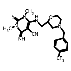 Cn1c(NCC2CN(Cc3ccc(C(F)(F)F)cc3)CCO2)c(C#N)c(=N)n(C)c1=S